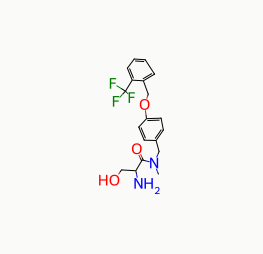 CN(Cc1ccc(OCc2ccccc2C(F)(F)F)cc1)C(=O)C(N)CO